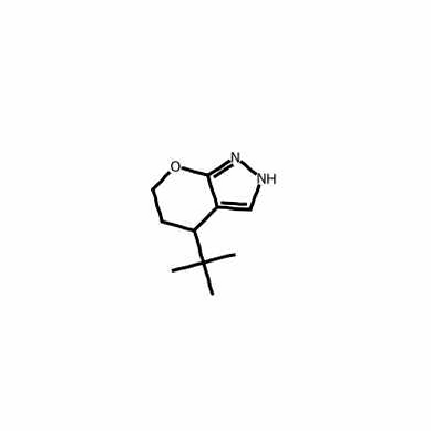 CC(C)(C)C1CCOc2n[nH]cc21